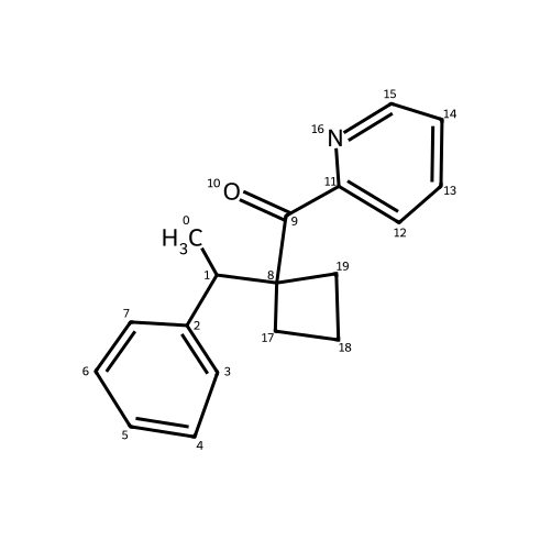 CC(c1ccccc1)C1(C(=O)c2ccccn2)CCC1